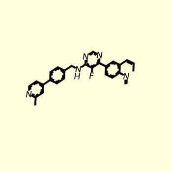 C=Nc1ccc(-c2ncnc(NCc3ccc(-c4ccnc(C)c4)cc3)c2F)cc1/C=C\C